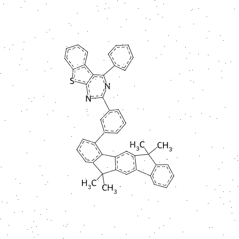 CC1(C)c2ccccc2-c2cc3c(cc21)-c1c(-c2cccc(-c4nc(-c5ccccc5)c5c(n4)sc4ccccc45)c2)cccc1C3(C)C